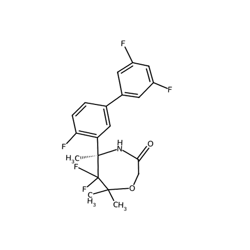 CC1(C)OCC(=O)N[C@](C)(c2cc(-c3cc(F)cc(F)c3)ccc2F)C1(F)F